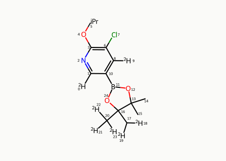 [2H]c1nc(OC(C)C)c(Cl)c([2H])c1B1OC(C)(C)C(C([2H])[2H])(C([2H])([2H])[2H])O1